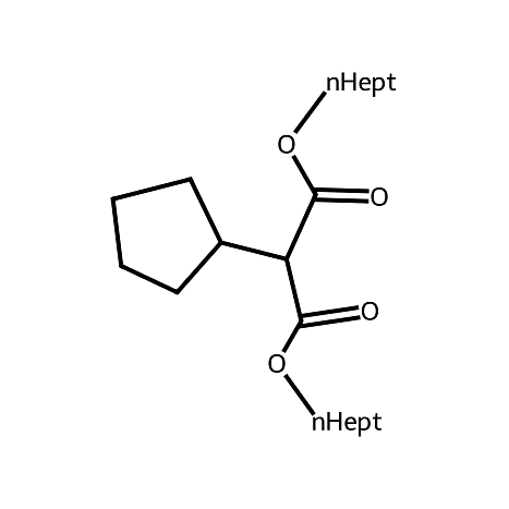 CCCCCCCOC(=O)C(C(=O)OCCCCCCC)C1CCCC1